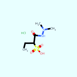 CCC(C(=O)NN(C)C)S(=O)(=O)O.Cl